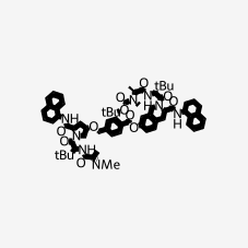 CN[C@@H](C)C(=O)NC(C(=O)N1CC(OCc2ccc(C(=O)Oc3ccc4c(c3)CN(C(=O)C(NC(=O)[C@H](C)N(C)C(=O)OC(C)(C)C)C(C)(C)C)C(C(=O)NC3CCCc5ccccc53)C4)cc2)CC1C(=O)NC1CCCc2ccccc21)C(C)(C)C